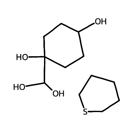 C1CCSCC1.OC1CCC(O)(C(O)O)CC1